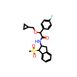 CS(=O)(=O)C1c2ccccc2CC1NC(=O)C(OCC1CC1)c1ccc(F)cc1